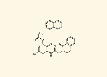 CC(=O)OCC(=O)C(CC(=O)O)NC(=O)CC1CCc2ccccc2C1=O.c1ccc2ccccc2c1